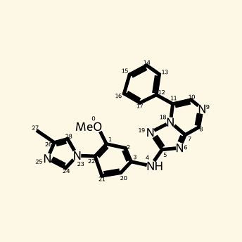 COc1cc(Nc2nc3cncc(-c4ccccc4)n3n2)ccc1-n1cnc(C)c1